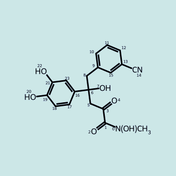 CN(O)C(=O)C(=O)CC(O)(Cc1cccc(C#N)c1)c1ccc(O)c(O)c1